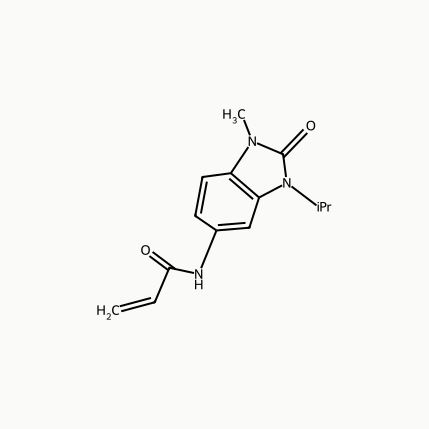 C=CC(=O)Nc1ccc2c(c1)n(C(C)C)c(=O)n2C